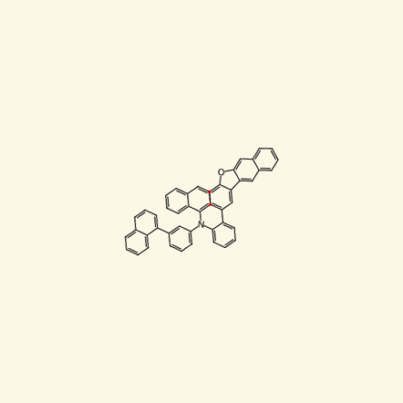 c1cc(-c2cccc3ccccc23)cc(N(c2ccccc2-c2ccc3oc4cc5ccccc5cc4c3c2)c2cccc3ccccc23)c1